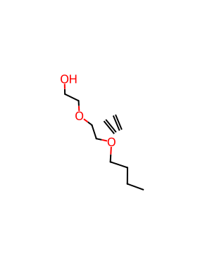 C=C.C=C.CCCCOCCOCCO